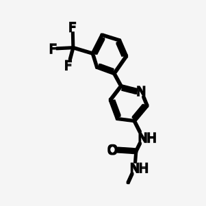 CNC(=O)Nc1ccc(-c2cccc(C(F)(F)F)c2)nc1